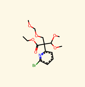 CCOC(=O)C(COCOC)(c1cccc(Br)n1)C(OC)OC